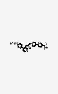 CNc1ccc(-c2ccnc3c2cc(CN2CC=C(c4ccc(C(=O)N(C)C)cn4)CC2)n3C)nn1